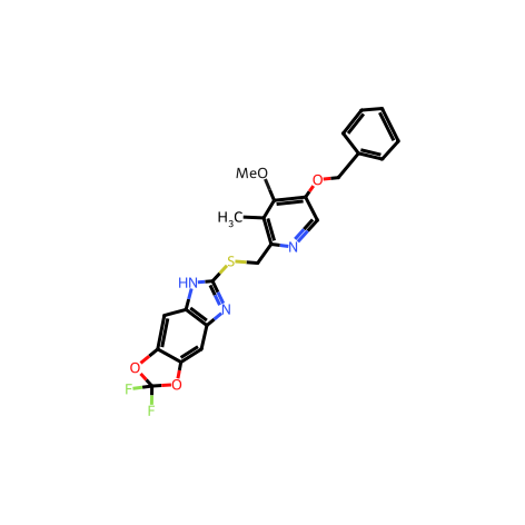 COc1c(OCc2ccccc2)cnc(CSc2nc3cc4c(cc3[nH]2)OC(F)(F)O4)c1C